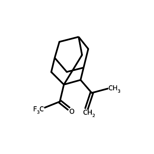 C=C(C)C1C2CC3CC(C2)CC1(C(=O)C(F)(F)F)C3